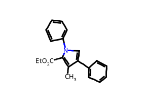 CCOC(=O)c1c(C)c(-c2ccccc2)cn1-c1ccccc1